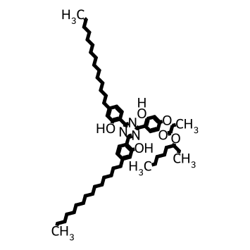 CCCCCCCCCCCCCCCc1ccc(-c2nc(-c3ccc(CCCCCCCCCCCCCCC)cc3O)nc(-c3ccc(OC(C)C(=O)OC(CC)CCCCC)cc3O)n2)c(O)c1